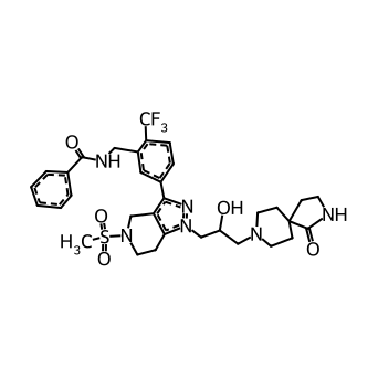 CS(=O)(=O)N1CCc2c(c(-c3ccc(C(F)(F)F)c(CNC(=O)c4ccccc4)c3)nn2CC(O)CN2CCC3(CCNC3=O)CC2)C1